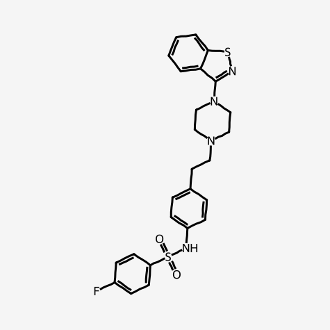 O=S(=O)(Nc1ccc(CCN2CCN(c3nsc4ccccc34)CC2)cc1)c1ccc(F)cc1